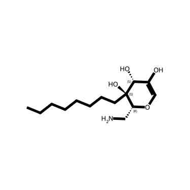 CCCCCCCC[C@]1(O)[C@H](O)C(O)=CO[C@@H]1CN